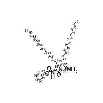 CCCCCCCCCCCCCCCCCC(CCCCCCCCCCCCCCCCC)N(CC(N)=O)C(=O)CNC(=O)OCc1ccccc1